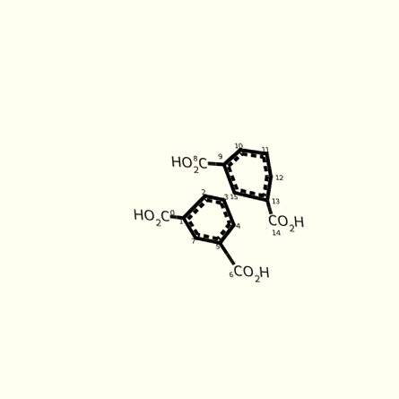 O=C(O)c1cccc(C(=O)O)c1.O=C(O)c1cccc(C(=O)O)c1